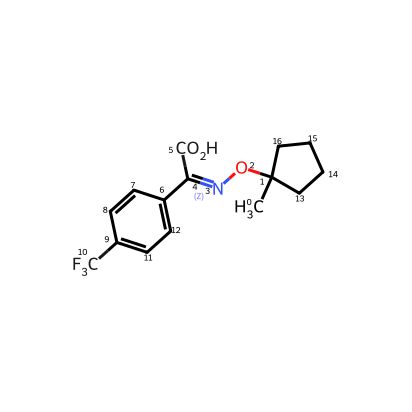 CC1(O/N=C(\C(=O)O)c2ccc(C(F)(F)F)cc2)CCCC1